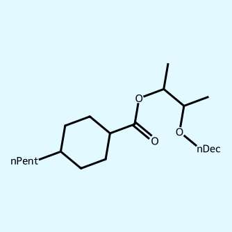 CCCCCCCCCCOC(C)C(C)OC(=O)C1CCC(CCCCC)CC1